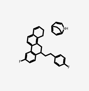 C1=CC2=CC=C(CC2)N1.Fc1ccc(CCC2Cc3c(ccc4c3CCC=C4)-c3cc(F)ccc32)cc1